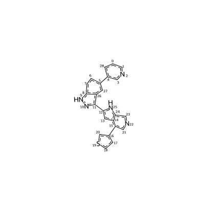 c1cncc(-c2ccc3[nH]nc(-c4cc5c(-c6ccsc6)cncc5[nH]4)c3c2)c1